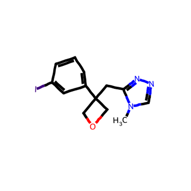 Cn1cnnc1CC1(c2cccc(I)c2)COC1